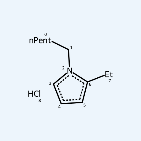 CCCCCCn1cccc1CC.Cl